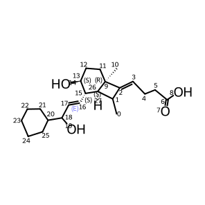 CC1C(=CCCC(=O)O)[C@]2(C)CC[C@H](O)[C@@H](/C=C/C(O)C3CCCCC3)[C@H]12